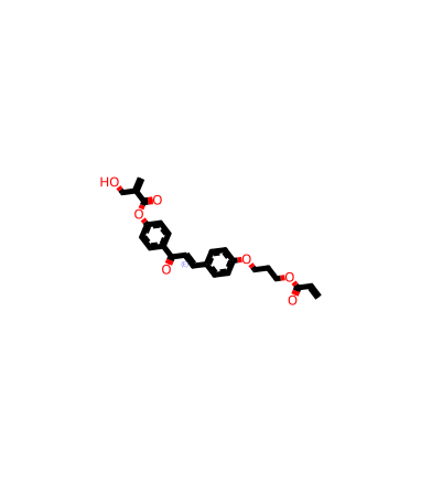 C=CC(=O)OCCCOc1ccc(/C=C/C(=O)c2ccc(OC(=O)C(=C)CO)cc2)cc1